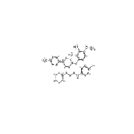 COc1ccc(CN2CCN(c3ccc(C)cc3)CC2)c(C)c1C.Ic1ccc(OCCCN2CCCCC2)cc1